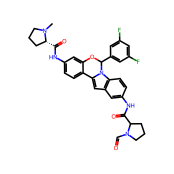 CN1CCC[C@H]1C(=O)Nc1ccc2c(c1)OC(c1cc(F)cc(F)c1)n1c-2cc2cc(NC(=O)C3CCCN3C=O)ccc21